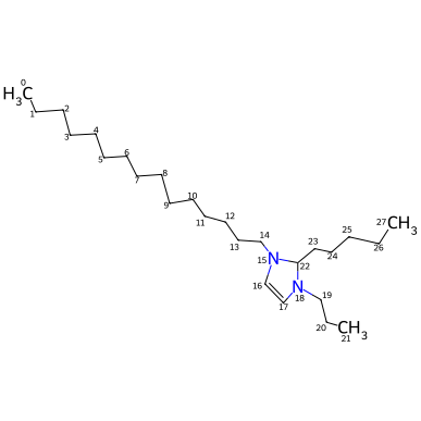 CCCCCCCCCCCCCCCN1C=CN(CCC)C1CCCCC